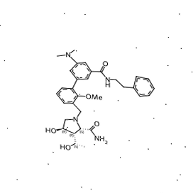 COc1c(CN2C[C@H](O)[C@@H]([C@H](C)O)[C@H]2C(N)=O)cccc1-c1cc(C(=O)NCCc2ccccc2)cc(N(C)C)c1